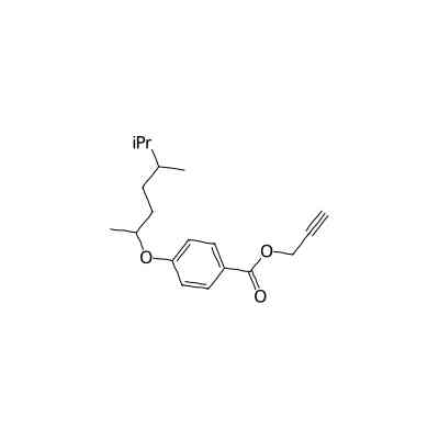 C#CCOC(=O)c1ccc(OC(C)CCC(C)C(C)C)cc1